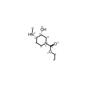 CCOC(=O)N1CC[C@H](NC)[C@H](O)C1